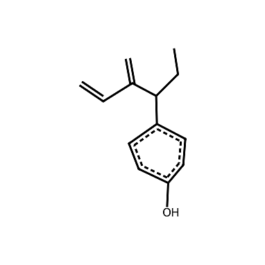 C=CC(=C)C(CC)c1ccc(O)cc1